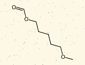 COCCCCCOC=O